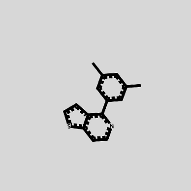 Cc1cc(C)cc(-c2nccc3sccc23)c1